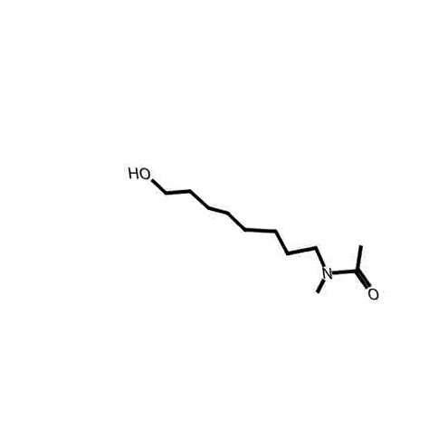 CC(=O)N(C)CCCCCCCCO